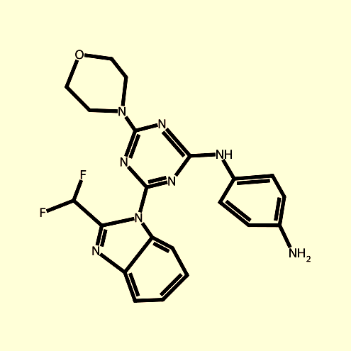 Nc1ccc(Nc2nc(N3CCOCC3)nc(-n3c(C(F)F)nc4ccccc43)n2)cc1